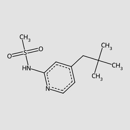 CC(C)(C)Cc1ccnc(NS(C)(=O)=O)c1